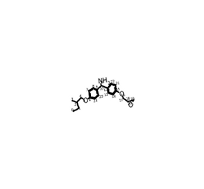 CCC(C)COc1ccc(C(N)c2ccc(OCC3CO3)cc2)cc1